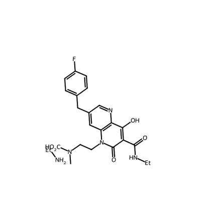 CCN.CCNC(=O)c1c(O)c2ncc(Cc3ccc(F)cc3)cc2n(CCN(C)C(=O)O)c1=O